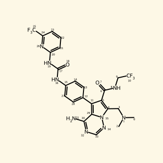 CN(C)Cc1c(C(=O)NCC(F)(F)F)c(-c2ccc(NC(=O)Nc3cccc(C(F)(F)F)n3)cc2)c2c(N)ncnn12